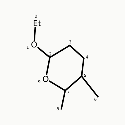 CCOC1CCC(C)C(C)O1